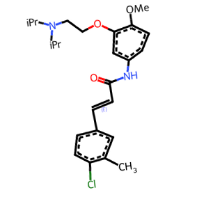 COc1ccc(NC(=O)/C=C/c2ccc(Cl)c(C)c2)cc1OCCN(C(C)C)C(C)C